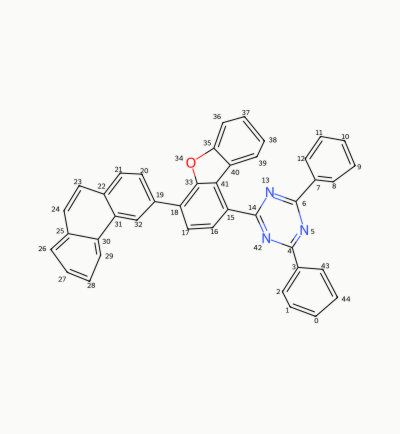 c1ccc(-c2nc(-c3ccccc3)nc(-c3ccc(-c4ccc5ccc6ccccc6c5c4)c4oc5ccccc5c34)n2)cc1